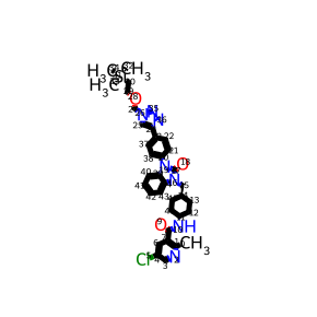 Cc1ncc(Cl)cc1C(=O)N[C@H]1CC[C@H](Cn2c(=O)n(-c3ccc(-c4cn(COCC[Si](C)(C)C)nn4)cc3)c3ccccc32)CC1